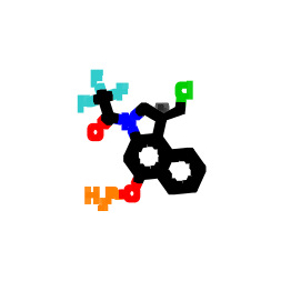 O=C(N1C[C@@H](CCl)c2c1cc(OP)c1ccccc21)C(F)(F)F